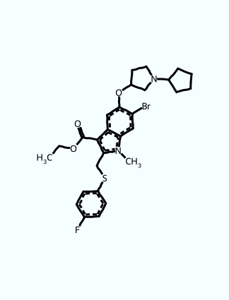 CCOC(=O)c1c(CSc2ccc(F)cc2)n(C)c2cc(Br)c(OC3CCN(C4CCCC4)C3)cc12